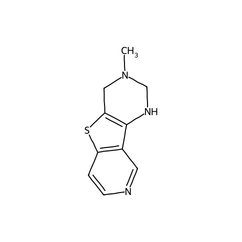 CN1CNc2c(sc3ccncc23)C1